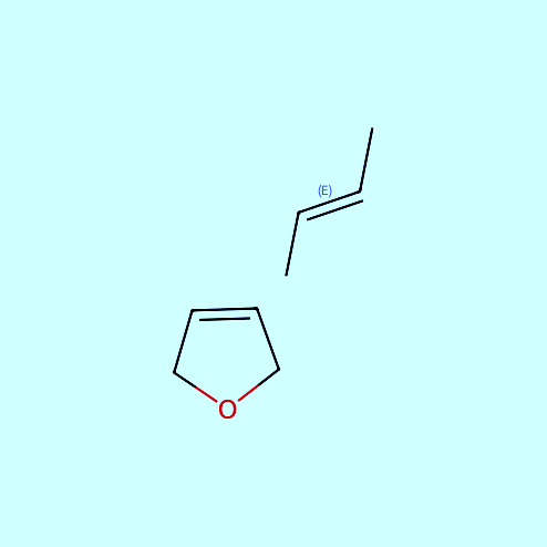 C/C=C/C.C1=CCOC1